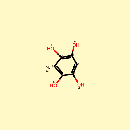 Oc1cc(O)c(O)cc1O.[Na]